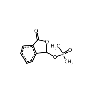 CP(C)(=O)OC1OC(=O)c2ccccc21